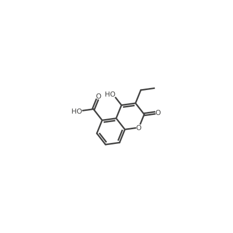 CCc1c(O)c2c(C(=O)O)cccc2oc1=O